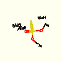 O=S(=S)([O][Au])[O][Au].[NaH].[NaH].[NaH]